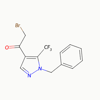 O=C(CBr)c1cnn(Cc2ccccc2)c1C(F)(F)F